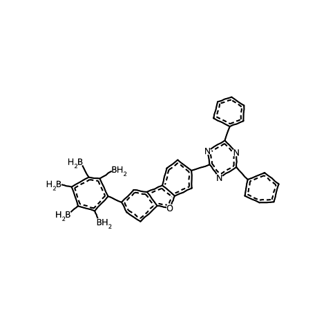 Bc1c(B)c(B)c(-c2ccc3oc4cc(-c5nc(-c6ccccc6)nc(-c6ccccc6)n5)ccc4c3c2)c(B)c1B